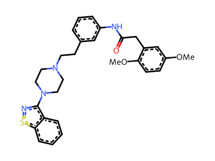 COc1ccc(OC)c(CC(=O)Nc2cccc(CCN3CCN(c4nsc5ccccc45)CC3)c2)c1